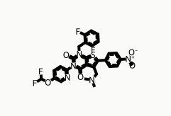 CN(C)Cc1c(-c2ccc([N+](=O)[O-])cc2)sc2c1c(=O)n(-c1ccc(OC(F)F)cn1)c(=O)n2Cc1c(F)cccc1F